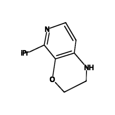 CC(C)c1nccc2c1OCCN2